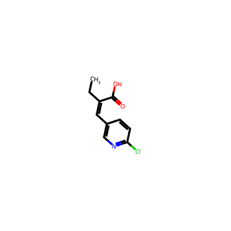 CCC(=Cc1ccc(Cl)nc1)C(=O)O